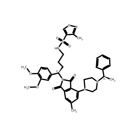 COc1ccc([C@@H](CCCNS(=O)(=O)c2conc2C)N2C(=O)c3cc(C)cc(N4CCN([C@H](C)c5ccccc5)CC4)c3C2=O)cc1OC